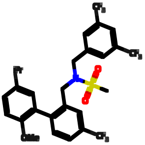 COc1ccc(C(C)C)cc1-c1ccc(C(F)(F)F)cc1CN(Cc1cc(C(F)(F)F)cc(C(F)(F)F)c1)S(C)(=O)=O